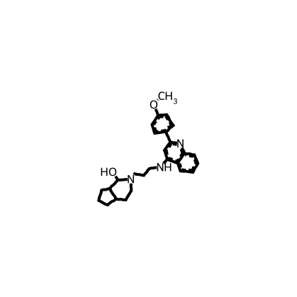 COc1ccc(-c2cc(NCCCN3CCC4CCCC4C3O)c3ccccc3n2)cc1